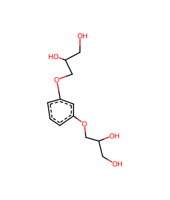 OCC(O)COc1cccc(OCC(O)CO)c1